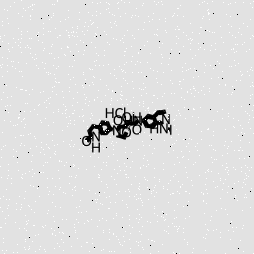 Cl.O=C1CCc2ccc(N3CCO[C@H]([C@@H](O)C(=O)Nc4ccc5c(NI)nccc5c4)C3=O)cc2N1